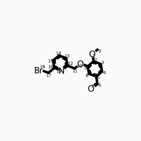 COc1ccc(C=O)cc1OCc1cccc(CBr)n1